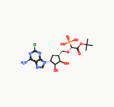 CC(C)(C)OC(=O)[C@H](OC[C@H]1C[C@@H](n2cnc3c(N)nc(Cl)nc32)[C@H](O)[C@@H]1O)P(=O)(O)O